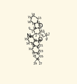 Cc1c2c(c(CC(C)(C)C)c3oc4ccccc4c13)Oc1cc3cc(CC(C)(C)C)ccc3c3ccnc-2c13